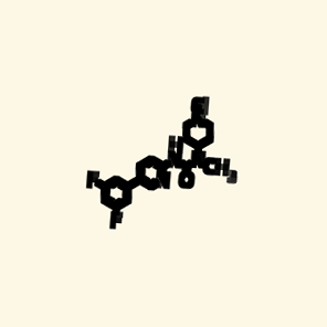 CN(C(=O)Nc1ccc(-c2cc(F)cc(F)c2)cn1)C1CCN(Cl)CC1